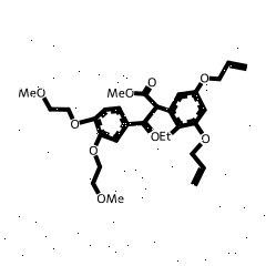 C=CCOc1cc(OCC=C)c(CC)c(C(C(=O)OC)C(=O)c2ccc(OCCOC)c(OCCOC)c2)c1